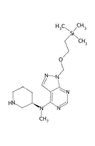 CN(c1ncnc2c1cnn2COCC[Si](C)(C)C)[C@@H]1CCCNC1